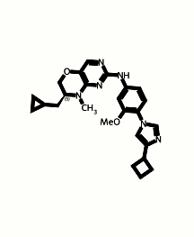 COc1cc(Nc2ncc3c(n2)N(C)[C@@H](CC2CC2)CO3)ccc1-n1cnc(C2CCC2)c1